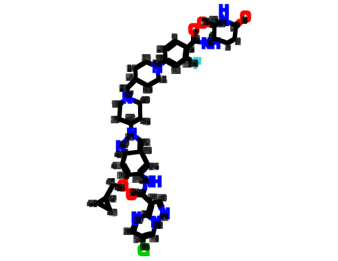 O=C1CCC(NC(=O)c2ccc(N3CCC(CN4CCC(n5cc6cc(NC(=O)c7cnn8cc(Cl)cnc78)c(OCC7CC7)cc6n5)CC4)CC3)cc2F)C(=O)N1